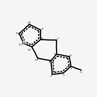 Cc1ccc2c(c1)Cc1cccnc1C2